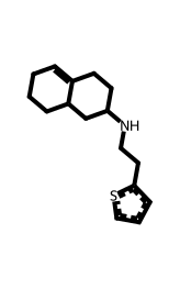 C1=C2CCC(NCCc3cccs3)CC2CCC1